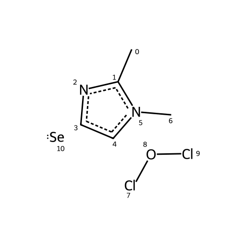 Cc1nccn1C.ClOCl.[Se]